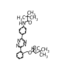 CC(C)(C)CC(=O)OCc1ccccc1-c1nnc(-c2ccc(NC(=O)C(C)(C)C)cc2)nn1